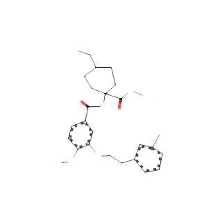 COC(=O)C1(NC(=O)c2ccc(OC)c(OCCc3cccc(C)c3)c2)CCC(CO)CC1